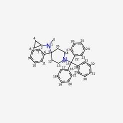 CN(C1CC1)C1(c2ccccc2)CCN(C(c2ccccc2)(c2ccccc2)c2ccccc2)CC1